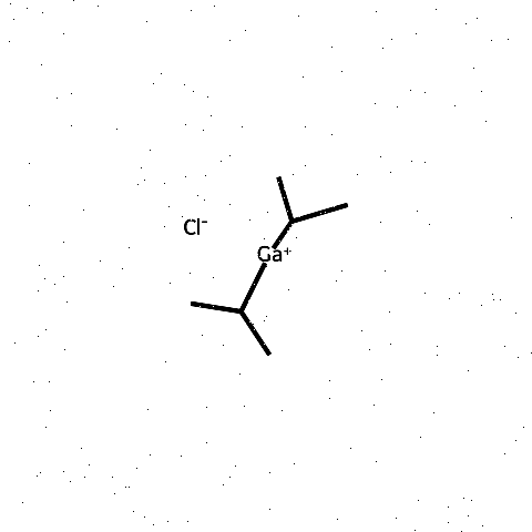 C[CH](C)[Ga+][CH](C)C.[Cl-]